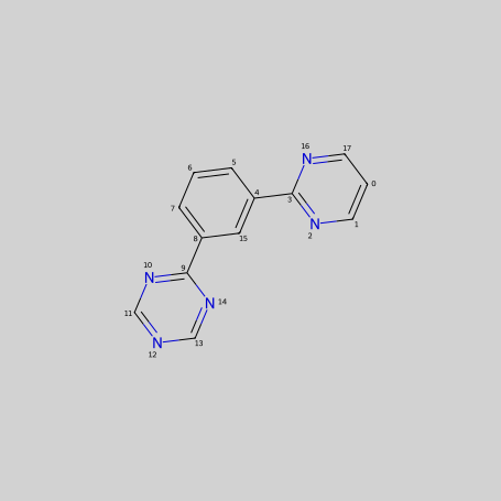 c1cnc(-c2cccc(-c3ncncn3)c2)nc1